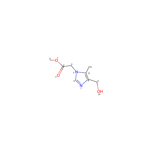 COC(=O)Cn1cnc(CO)c1C